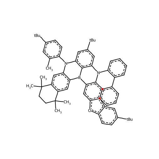 Cc1cc(C(C)(C)C)ccc1N1c2cc3c(cc2B2c4cc5oc6ccc(C(C)(C)C)cc6c5cc4N(c4ccccc4-c4ccccc4)c4cc(C(C)(C)C)cc1c42)C(C)(C)CCC3(C)C